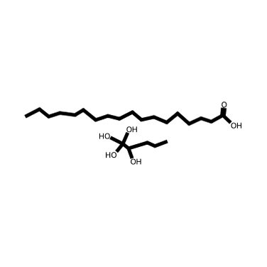 CCCC(O)C(O)(O)O.CCCCCCCCCCCCCCCCCC(=O)O